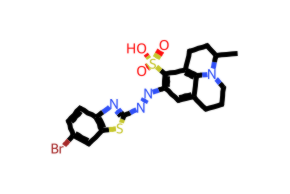 CC1CCc2c3c(cc(/N=N/c4nc5ccc(Br)cc5s4)c2S(=O)(=O)O)CCCN31